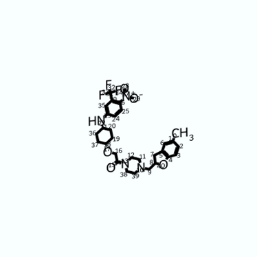 Cc1ccc2c(c1)CC(CN1CCN(C(=O)CO[C@H]3CC[C@H](Nc4ccc([N+](=O)[O-])c(C(F)(F)F)c4)CC3)CC1)O2